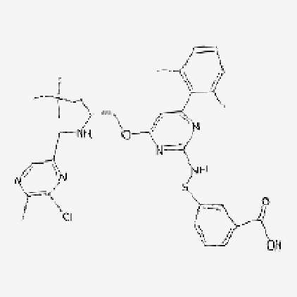 Cc1cccc(C)c1-c1cc(OC[C@@H](CC(C)(C)C)NCc2cnc(C)c(Cl)n2)nc(NSc2cccc(C(=O)O)c2)n1